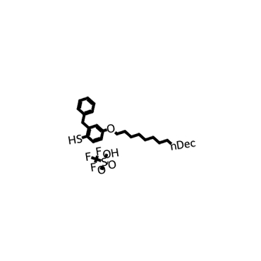 CCCCCCCCCCCCCCCCCCOc1ccc(S)c(Cc2ccccc2)c1.O=S(=O)(O)C(F)(F)F